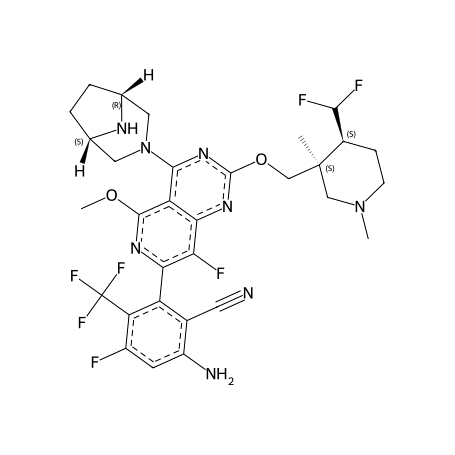 COc1nc(-c2c(C#N)c(N)cc(F)c2C(F)(F)F)c(F)c2nc(OC[C@]3(C)CN(C)CC[C@@H]3C(F)F)nc(N3C[C@H]4CC[C@@H](C3)N4)c12